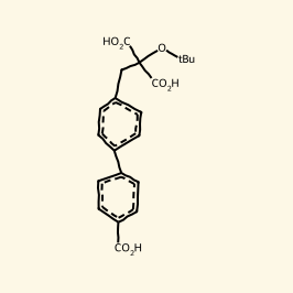 CC(C)(C)OC(Cc1ccc(-c2ccc(C(=O)O)cc2)cc1)(C(=O)O)C(=O)O